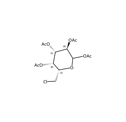 CC(=O)OC1O[C@H](CCl)[C@H](OC(C)=O)[C@H](OC(C)=O)[C@H]1OC(C)=O